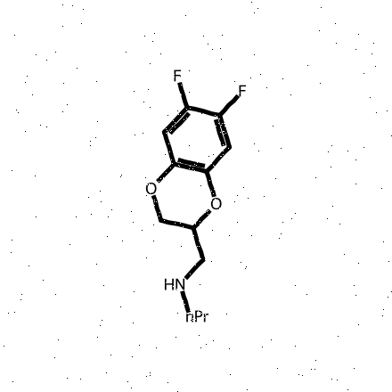 CCCNCC1COc2cc(F)c(F)cc2O1